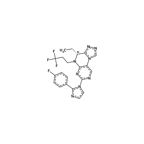 CC[C@@H]1c2nncn2-c2cnc(-n3ccnc3-c3ccc(F)cc3)nc2N1CCC(F)(F)F